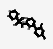 Cc1cc(F)ccc1-c1cccc(NS(=O)(=O)c2ccccc2)n1